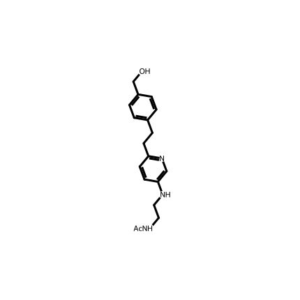 CC(=O)NCCNc1ccc(CCc2ccc(CO)cc2)nc1